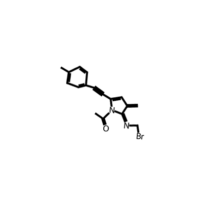 C=C1C=C(C#Cc2ccc(C)cc2)N(C(C)=O)/C1=N/CBr